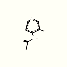 CC(=O)Nc1ccncc1F